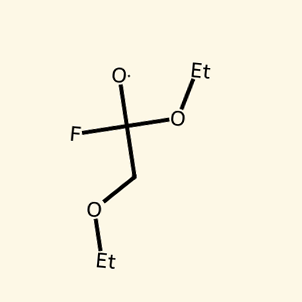 CCOCC([O])(F)OCC